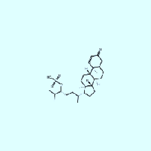 CC(CC[C@@H](OS(=O)(=O)O)C(C)C)[C@H]1CC[C@H]2[C@@H]3CCC4CC(=O)C=C[C@]4(C)[C@H]3CC[C@]12C